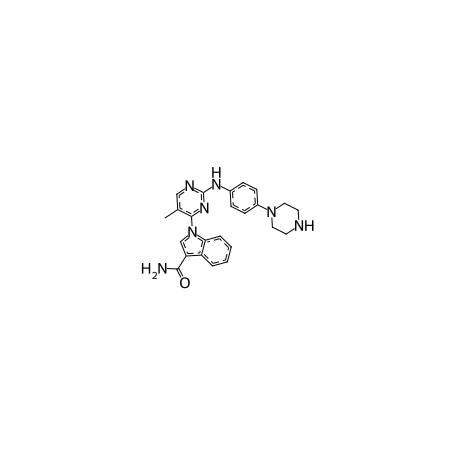 Cc1cnc(Nc2ccc(N3CCNCC3)cc2)nc1-n1cc(C(N)=O)c2ccccc21